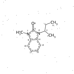 CCC(C)n1c(=O)n(C)c2ccccc21